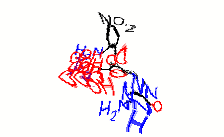 NCc1cc([N+](=O)[O-])ccc1C(=O)O[C@@H]1C[C@H](n2cnc3c(=O)[nH]c(N)nc32)OC1COP(=O)(O)OP(=O)(O)OP(=O)(O)O